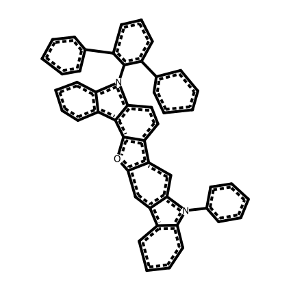 c1ccc(-c2cccc(-c3ccccc3)c2-n2c3ccccc3c3c4oc5cc6c7ccccc7n(-c7ccccc7)c6cc5c4ccc32)cc1